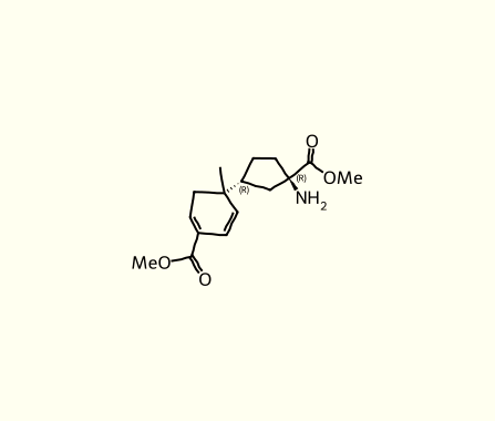 COC(=O)C1=CCC(C)([C@@H]2CC[C@](N)(C(=O)OC)C2)C=C1